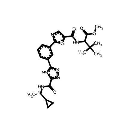 COC(=O)C(NC(=O)c1cnc(-c2cccc(-c3nnc(C(=O)N[C@@H](C)C4CC4)[nH]3)c2)o1)C(C)(C)C